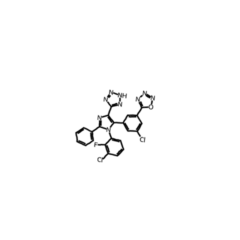 Fc1c(Cl)cccc1-n1c(-c2ccccc2)nc(-c2nn[nH]n2)c1-c1cc(Cl)cc(-c2nnno2)c1